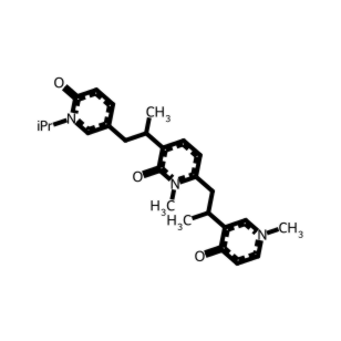 CC(Cc1ccc(C(C)Cc2ccc(=O)n(C(C)C)c2)c(=O)n1C)c1cn(C)ccc1=O